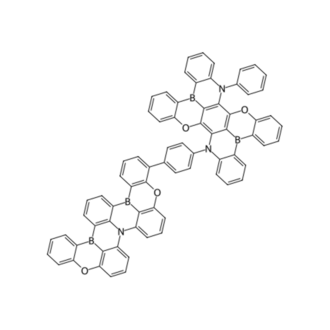 c1ccc(N2c3ccccc3B3c4ccccc4Oc4c3c2c2c3c4N(c4ccc(-c5cccc6c5Oc5cccc7c5B6c5cccc6c5N7c5cccc7c5B6c5ccccc5O7)cc4)c4ccccc4B3c3ccccc3O2)cc1